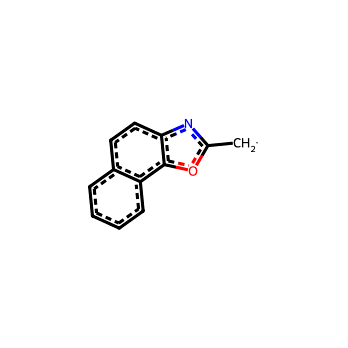 [CH2]c1nc2ccc3ccccc3c2o1